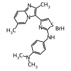 Br.Cc1ccc2nc(C)c(-c3csc(Nc4ccc(N(C)C)cc4)n3)n2c1